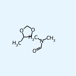 CC1COCO1.CN(C)C=O